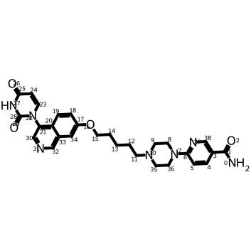 NC(=O)c1ccc(N2CCN(CCCCCOc3ccc4c(-n5ccc(=O)[nH]c5=O)cncc4c3)CC2)nc1